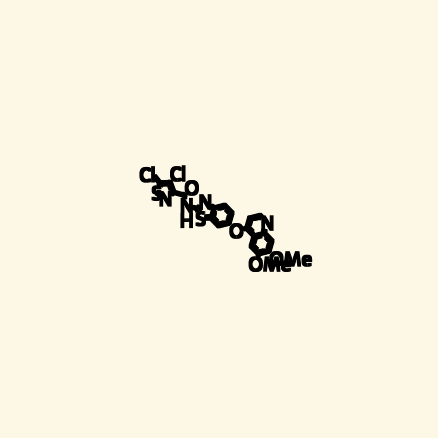 COc1cc2nccc(Oc3ccc4nc(NC(=O)c5nsc(Cl)c5Cl)sc4c3)c2cc1OC